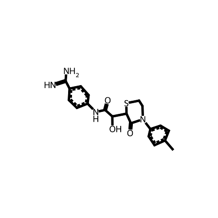 Cc1ccc(N2CCSC(C(O)C(=O)Nc3ccc(C(=N)N)cc3)C2=O)cc1